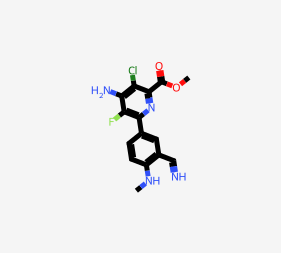 CNc1ccc(-c2nc(C(=O)OC)c(Cl)c(N)c2F)cc1C=N